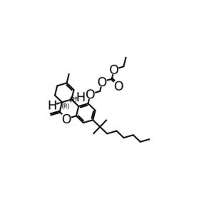 C=C1Oc2cc(C(C)(C)CCCCCC)cc(OCOC(=O)OCC)c2[C@@H]2C=C(C)CC[C@@H]12